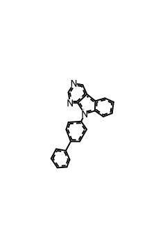 c1ccc(-c2ccc(-n3c4ccccc4c4cncnc43)cc2)cc1